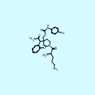 CCc1ccc(NC(=O)OCC2(C(C(N)=O)c3ccccc3Cl)CCN(C(=O)C(N)CCCN)CC2)cc1